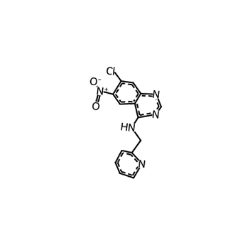 O=[N+]([O-])c1cc2c(NCc3ccccn3)ncnc2cc1Cl